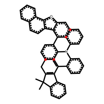 CC1(C)C2=C(C(c3ccccc3N(c3ccccc3)c3ccccc3-c3cccc4oc5c6ccccc6ccc5c34)=CCC2)c2ccccc21